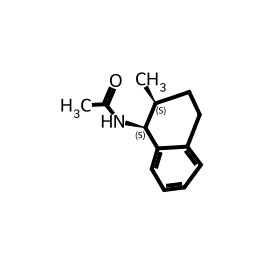 CC(=O)N[C@@H]1c2ccccc2CC[C@@H]1C